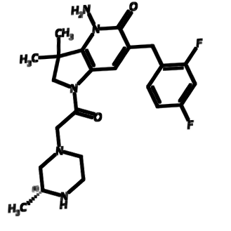 C[C@@H]1CN(CC(=O)N2CC(C)(C)c3c2cc(Cc2ccc(F)cc2F)c(=O)n3N)CCN1